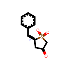 O=C1C/C(=C/c2ccccc2)S(=O)(=O)C1